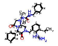 C=Cc1cccc(CN2C[C@H]3N(C(=O)CN3N(CCC)C(=O)NCc3ccccc3)[C@@H](c3ccccc3)C2=O)c1NN